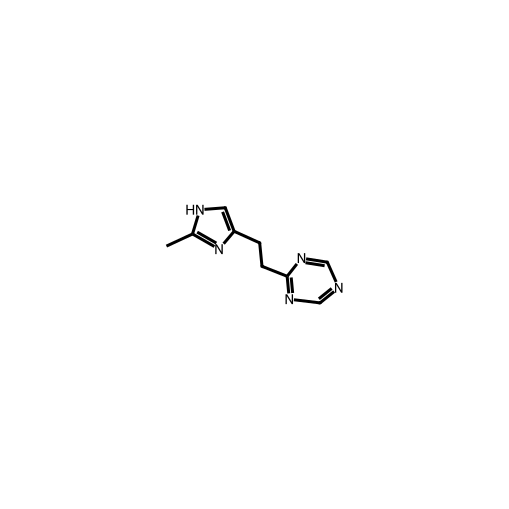 Cc1nc(CCc2ncncn2)c[nH]1